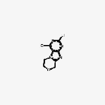 Clc1nc(Cl)c2c(n1)nc1n2CCOC1